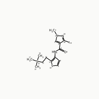 Cn1cc(C(=O)Nc2ccsc2CC[Si](C)(C)C)c(I)n1